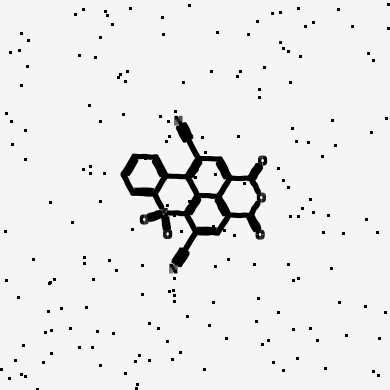 N#Cc1cc2c3c(cc(C#N)c4c3c1-c1ccccc1S4(=O)=O)C(=O)OC2=O